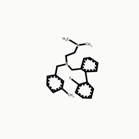 Cc1cccc(CN(CCN(C)C)Cc2ccccc2-c2ccccc2F)c1